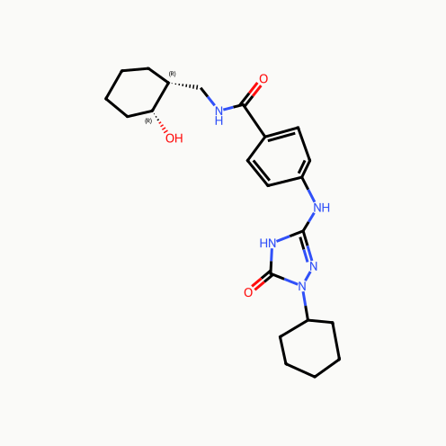 O=C(NC[C@H]1CCCC[C@H]1O)c1ccc(Nc2nn(C3CCCCC3)c(=O)[nH]2)cc1